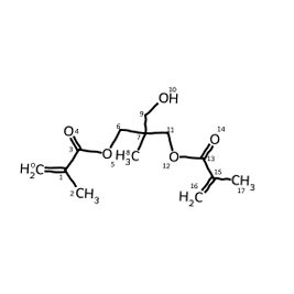 C=C(C)C(=O)OCC(C)(CO)COC(=O)C(=C)C